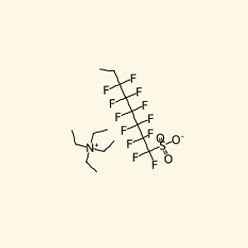 CCC(F)(F)C(F)(F)C(F)(F)C(F)(F)C(F)(F)C(F)(F)S(=O)(=O)[O-].CC[N+](CC)(CC)CC